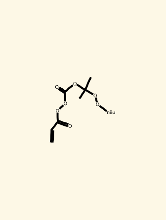 C=CC(=O)OOC(=O)OC(C)(C)OOCCCC